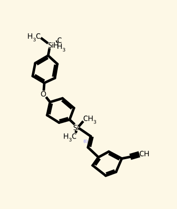 C#Cc1cccc(/C=C/[Si](C)(C)c2ccc(Oc3ccc([SiH](C)C)cc3)cc2)c1